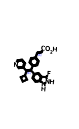 O=C(O)/C=C/c1ccc(/C(=C(\c2cccnc2)C2CCC2)c2ccc3c(c2)C(F)NN3)cc1